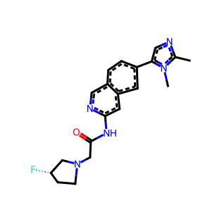 Cc1ncc(-c2ccc3cnc(NC(=O)CN4CC[C@H](F)C4)cc3c2)n1C